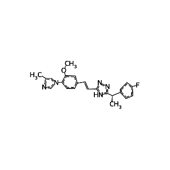 COc1cc(/C=C/c2nnc(C(C)c3ccc(F)cc3)[nH]2)ccc1-n1cnc(C)c1